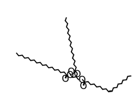 CCCCCCCC/C=C\CCCCCCCC(=O)OCC(COC(=O)CCCCCCCCCCCCCCCCC)OC(=O)CCCCCCCCCCCCCCCCC